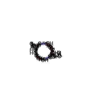 CO[C@@H]1CC(C)OC(CCC(C)[C@H](O)[C@H](C)[C@@H](O)[C@@H](C)[C@H]2C[C@H](O)[C@H](C)[C@@H](OC)C[C@@H]3CC=C[C@@H](C[C@@H](O)C/C=C(C)/C=C/C(=O)OC(C(C)CCC4C[C@H](OC)C[C@H](C)O4)[C@H](C)[C@@H](O)[C@@H](C)[C@@H](O)C[C@H](O)[C@H](C)[C@@H](OC)C[C@@H]4CC=C[C@@H](C[C@@H](O)C/C=C(C)/C=C/C(=O)O2)O4)O3)C1